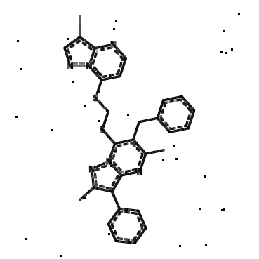 Cc1nc2c(-c3ccccc3)c(C)nn2c(SCSc2ccnc3c(I)cnn23)c1Cc1ccccc1